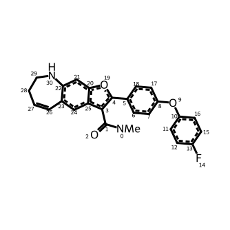 CNC(=O)c1c(-c2ccc(Oc3ccc(F)cc3)cc2)oc2cc3c(cc12)C=CCCN3